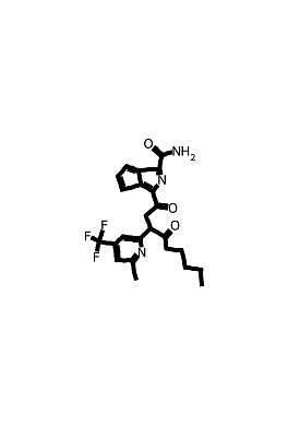 CCCCCC(=O)C(CC(=O)C1=C2C=CC=C2C(C(N)=O)=N1)c1cc(C(F)(F)F)cc(C)n1